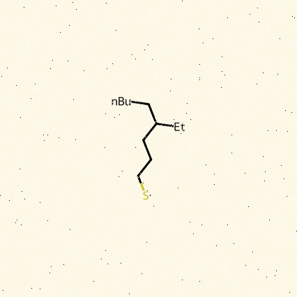 CCCCCC(CC)CCC[S]